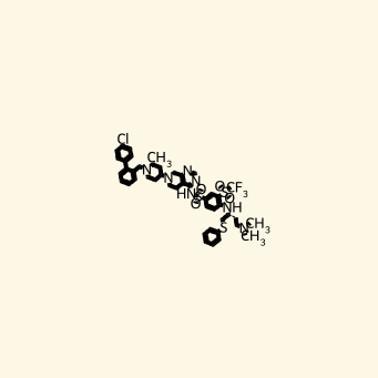 CC1CC(N2CCc3c(ncnc3NS(=O)(=O)c3ccc(N[C@H](CCN(C)C)CSc4ccccc4)c(S(=O)(=O)C(F)(F)F)c3)C2)CCN1Cc1ccccc1-c1ccc(Cl)cc1